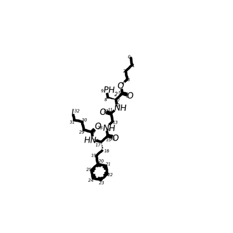 CCCCOC(=O)[C@H](CP)NC(=O)CNC(=O)[C@H](CCc1ccccc1)NC(=O)CCCI